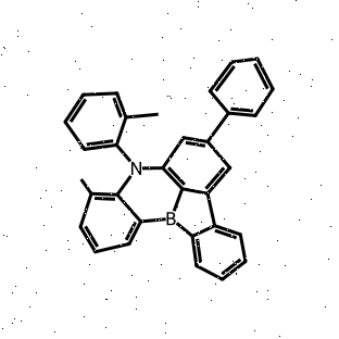 Cc1ccccc1N1c2cc(-c3ccccc3)cc3c2B(c2ccccc2-3)c2cccc(C)c21